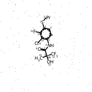 CC(C)Sc1ccc(NC(=O)[C@@](C)(O)C(F)(F)F)c(Cl)c1F